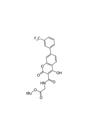 CC(C)(C)OC(=O)CNC(=O)c1c(O)c2ccc(-c3cccc(C(F)(F)F)c3)cc2oc1=O